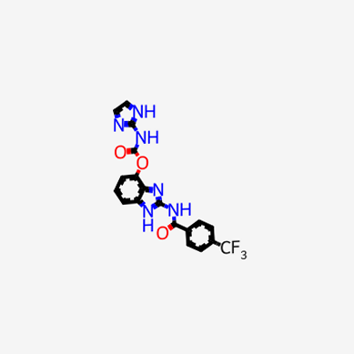 O=C(Nc1ncc[nH]1)Oc1cccc2[nH]c(NC(=O)c3ccc(C(F)(F)F)cc3)nc12